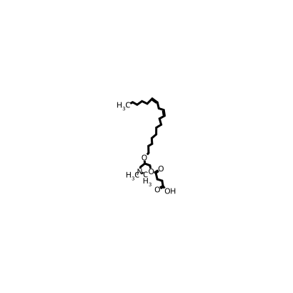 CCCCC/C=C\C/C=C\CCCCCCCCOC(COC(=O)CCC(=O)O)CN(C)C